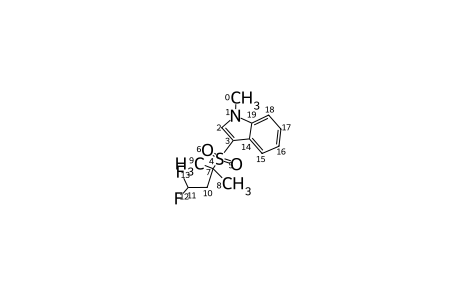 Cn1cc(S(=O)(=O)C(C)(C)CC(F)F)c2ccccc21